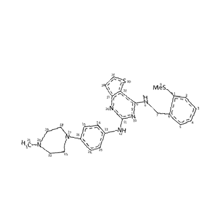 CSc1ccccc1CNc1nc(Nc2ccc(N3CCN(C)CC3)cc2)nc2ccsc12